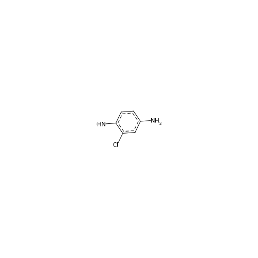 [NH]c1ccc(N)cc1Cl